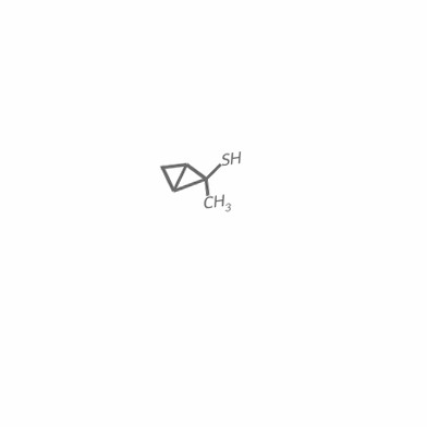 CC1(S)C2CC21